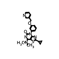 CN(C)c1nc(=O)n(-c2cccc(OCc3cccnc3)c2)c2nc(C3CC3)sc12